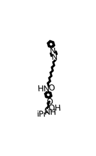 CC(C)NCC(O)COc1ccc(NC(=O)CCCCCCCCCCN2CCN(c3ccccc3)CC2)cc1